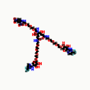 O=C(C=CC(O)C(NC(=O)COCCOCCOCCNc1ccc([N+](=O)[O-])cc1[N+](=O)[O-])C(O)C=CC(=O)NCCOCCOCCOCCOC[C@H]1OC[C@H](Nc2nccc(C(F)(F)F)n2)[C@@H](O)[C@H]1O)NCCOCCOCCOCCOC[C@H]1OC[C@H](Nc2nccc(C(F)(F)F)n2)[C@@H](O)[C@H]1O